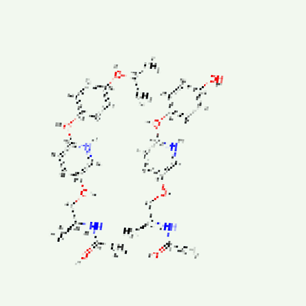 CC(=O)N[C@@H](C)COc1ccc(Oc2ccc(O)cc2)nc1.CC(=O)N[C@@H](C)COc1ccc(Oc2ccc(OC(C)C)cc2)nc1